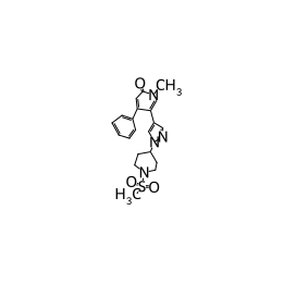 Cn1cc(-c2cnn(C3CCN(S(C)(=O)=O)CC3)c2)c(-c2ccccc2)cc1=O